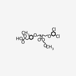 CCOC(Cc1ccc(OCCN(CCCOc2cc(Cl)cc(Cl)c2)C(=O)OCCOC)cc1)C(=O)O